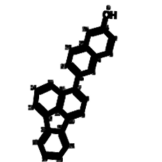 Oc1ccc2cc(-c3ccc4c5c(cccc35)-c3ccccc3-4)ccc2c1